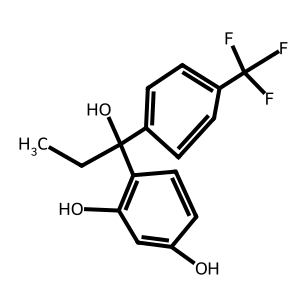 CCC(O)(c1ccc(C(F)(F)F)cc1)c1ccc(O)cc1O